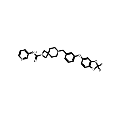 O=C(Nc1cccnc1)N1CC2(CCN(Cc3cccc(Oc4ccc5c(c4)OC(F)(F)O5)c3)CC2)C1